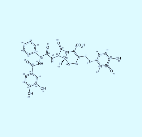 Cn1c(SCC2=C(C(=O)O)N3C(=O)C(NC(=O)C(NC(=O)c4ccc(O)c(O)c4)c4ccccc4)[C@H]3SC2)nnc(O)c1=O